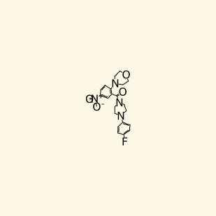 O=C(c1cc([N+](=O)[O-])ccc1N1CCOCC1)N1CCN(c2ccc(F)cc2)CC1